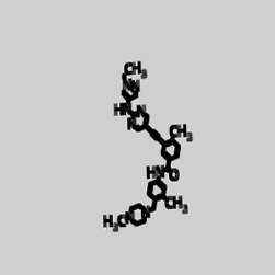 CCn1cc(Nc2ncc(C#Cc3cc(C(=O)Nc4ccc(CN5CCN(C)CC5)c(C)c4)ccc3C)cn2)cn1